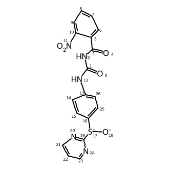 O=C(NC(=O)c1ccccc1[N+](=O)[O-])Nc1ccc([S+]([O-])c2ncccn2)cc1